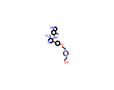 Cc1c(Nc2c(N)cncc2-c2ccc(OCCN3CCN(CCO)CC3)cc2)ccc2[nH]ccc12